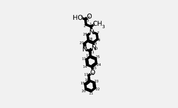 CC(CC(=O)O)N1CCc2nc(-c3ccc(OCc4ccccc4)cc3)ncc2C1